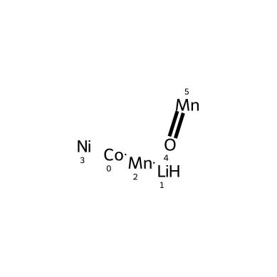 [Co].[LiH].[Mn].[Ni].[O]=[Mn]